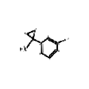 CC1(c2cccc(F)c2)CC1